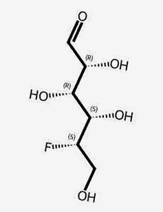 O=C[C@H](O)[C@@H](O)[C@H](O)[C@@H](F)CO